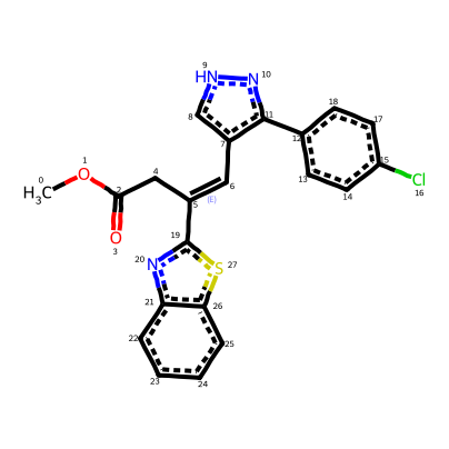 COC(=O)C/C(=C\c1c[nH]nc1-c1ccc(Cl)cc1)c1nc2ccccc2s1